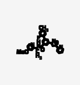 COc1ccnc([C@@H](C)NC(=O)c2cc(C3=NOC(c4ccccn4)C3)cc(-c3ccc(C)cc3F)c2)c1